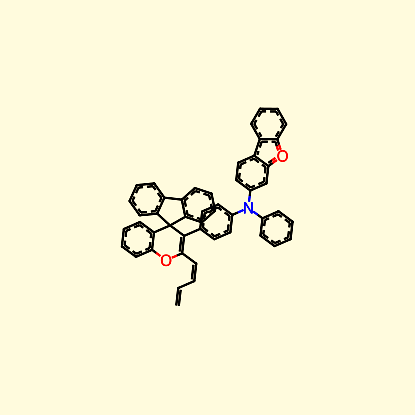 C=C/C=C\C1=C(c2ccc(N(c3ccccc3)c3ccc4c(c3)oc3ccccc34)cc2)C2(c3ccccc3O1)c1ccccc1-c1ccccc12